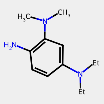 CCN(CC)c1ccc(N)c(N(C)C)c1